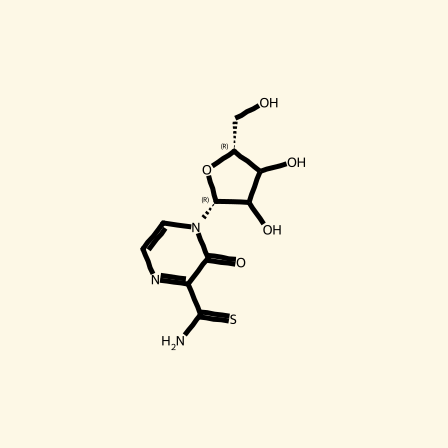 NC(=S)c1nccn([C@@H]2O[C@H](CO)C(O)C2O)c1=O